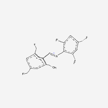 Oc1cc(F)cc(F)c1/C=N/c1c(F)cc(F)cc1F